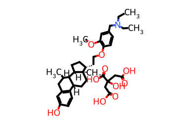 CCN(CC)Cc1ccc(OCC[C@H]2CC[C@H]3[C@@H]4C(C)Cc5cc(O)ccc5[C@H]4CC[C@]23C)c(OC)c1.O=C(O)CC(O)(CC(=O)O)C(=O)O